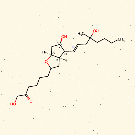 CCCCC(C)(O)C/C=C/[C@@H]1[C@H]2CC(CCCCC(=O)CO)O[C@H]2C[C@H]1O